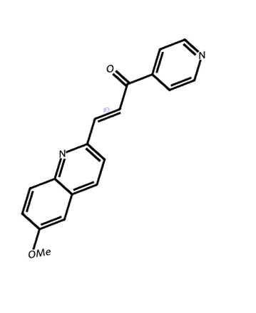 COc1ccc2nc(/C=C/C(=O)c3ccncc3)ccc2c1